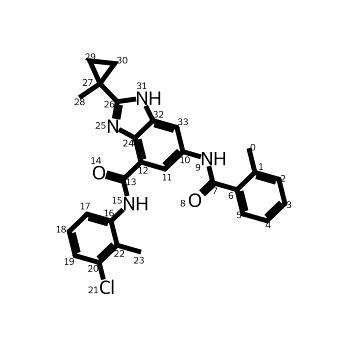 Cc1ccccc1C(=O)Nc1cc(C(=O)Nc2cccc(Cl)c2C)c2nc(C3(C)CC3)[nH]c2c1